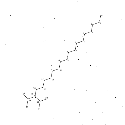 CCCCCCCCCCCCCCCCCN(C(C)C)C(C)C